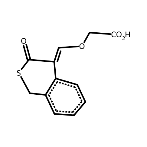 O=C(O)CO/C=C1/C(=O)SCc2ccccc21